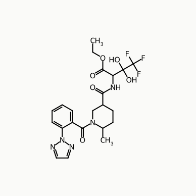 CCOC(=O)C(NC(=O)C1CCC(C)N(C(=O)c2ccccc2-n2nccn2)C1)C(O)(O)C(F)(F)F